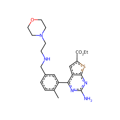 CCOC(=O)c1cc2c(-c3cc(CNCCN4CCOCC4)ccc3C)nc(N)nc2s1